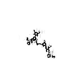 C=CC(=O)N[C@H]1CCOC[C@H]1Nc1cc2c(OCC)nc(-c3c(Cl)c(OC)cc(OCC4CC4COc4nc(-c5c(Cl)c(OC)cc(OC)c5Cl)cc5cnc(N[C@@H]6COC[C@@H]6NC(=O)C=C)nc45)c3Cl)cc2cn1